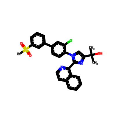 CCS(=O)(=O)c1cccc(-c2ccc(-n3cc(C(C)(C)O)nc3-c3nccc4ccccc34)c(Cl)c2)c1